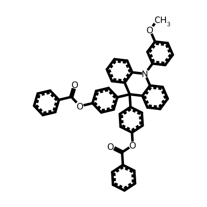 COc1cccc(N2c3ccccc3C(c3ccc(OC(=O)c4ccccc4)cc3)(c3ccc(OC(=O)c4ccccc4)cc3)c3ccccc32)c1